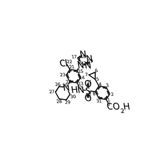 O=C(O)c1ccc(C2CC2)c(S(=O)(=O)Nc2cc(-n3cnnn3)c(Cl)cc2N2CCCCC2)c1